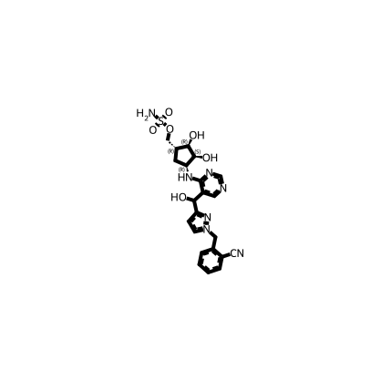 N#Cc1ccccc1Cn1ccc(C(O)c2cncnc2N[C@@H]2C[C@H](COS(N)(=O)=O)[C@@H](O)[C@H]2O)n1